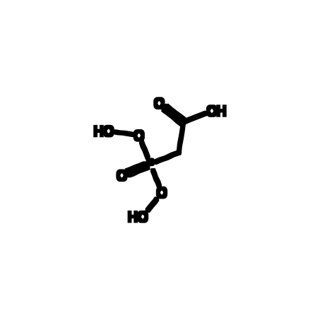 O=C(O)CP(=O)(OO)OO